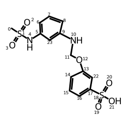 CS(=O)(=O)Nc1cccc(NCOc2cccc(S(=O)(=O)O)c2)c1